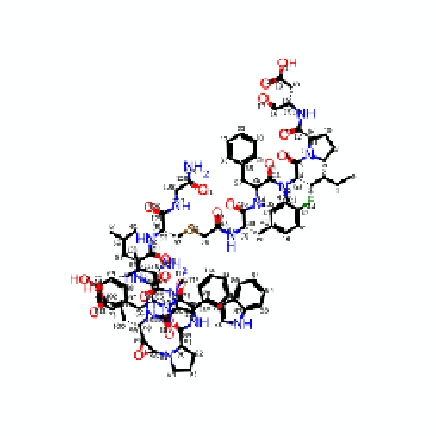 CCCC[C@@H](C(=O)N1CCC[C@@H]1C(=O)N[C@H](C=O)CC(=O)O)N(C)C(=O)C(Cc1ccccc1)N(C)C(=O)[C@H](Cc1ccc(F)cc1)NC(=O)CSC[C@H](NC(=O)[C@H](CC(C)C)NC(=O)[C@H](Cc1ccc(O)cc1)NC(=O)[C@H](Cc1c[nH]c2ccccc12)NC(=O)[C@H]1CCCN1C1OC1[C@H](CCC(=O)O)NC(=O)C(Cc1ccccc1)N(C)C(=O)[C@@H](N)C(C)C)C(=O)NCC(N)=O